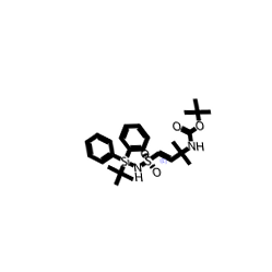 CC(C)(/C=C/S(=O)(=O)N[Si](c1ccccc1)(c1ccccc1)C(C)(C)C)NC(=O)OC(C)(C)C